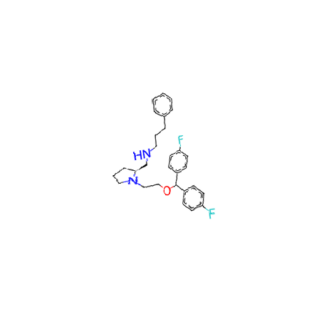 Fc1ccc(C(OCCN2CCC[C@H]2CNCCCc2ccccc2)c2ccc(F)cc2)cc1